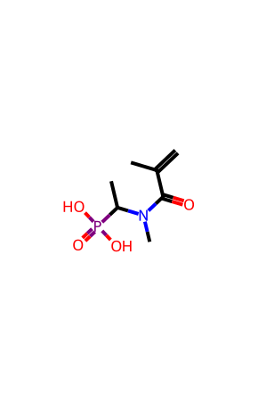 C=C(C)C(=O)N(C)C(C)P(=O)(O)O